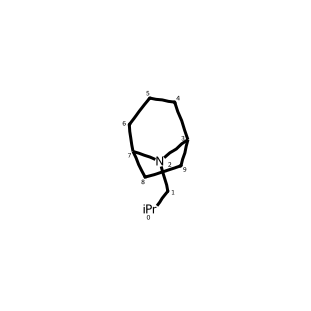 CC(C)CN1C2CCCC1CC2